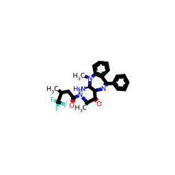 CC(NC(=O)CC(C)C(F)(F)F)C(=O)C1N=C(c2ccccc2)c2ccccc2N(C)[C@@H]1N